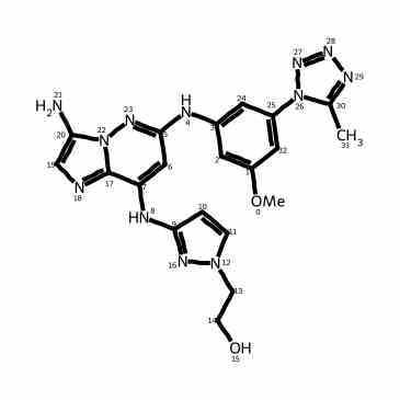 COc1cc(Nc2cc(Nc3ccn(CCO)n3)c3ncc(N)n3n2)cc(-n2nnnc2C)c1